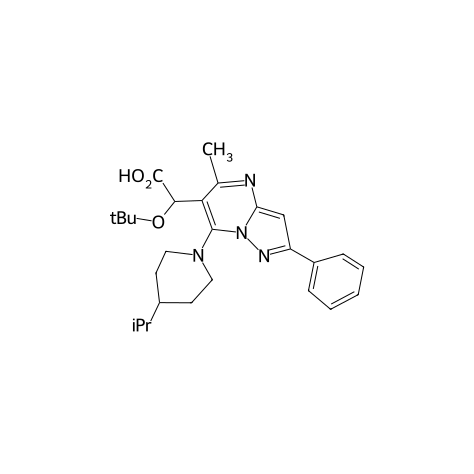 Cc1nc2cc(-c3ccccc3)nn2c(N2CCC(C(C)C)CC2)c1C(OC(C)(C)C)C(=O)O